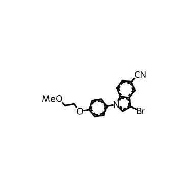 COCCOc1ccc(-n2cc(Br)c3cc(C#N)ccc32)cc1